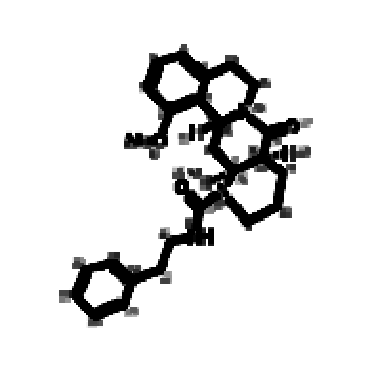 COc1cccc2c1[C@H]1C[C@H]3[C@H](CCCN3C(=O)NCCc3ccccc3)C(=O)N1CC2